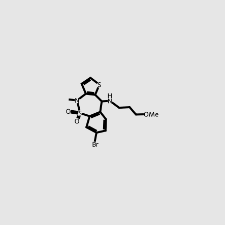 COCCCNC1c2ccc(Br)cc2S(=O)(=O)N(C)c2ccsc21